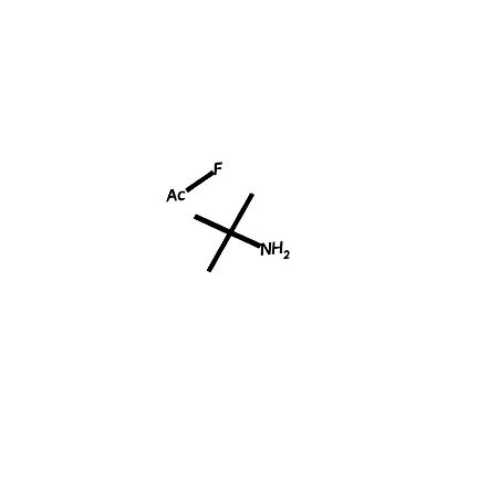 CC(=O)F.CC(C)(C)N